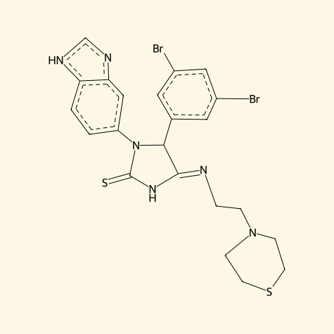 S=C1NC(=NCCN2CCSCC2)C(c2cc(Br)cc(Br)c2)N1c1ccc2[nH]cnc2c1